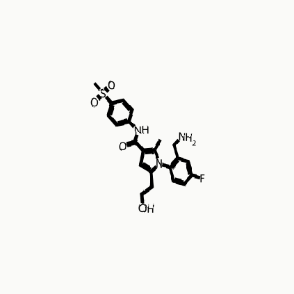 Cc1c(C(=O)Nc2ccc(S(C)(=O)=O)cc2)cc(CCO)n1-c1ccc(F)cc1CN